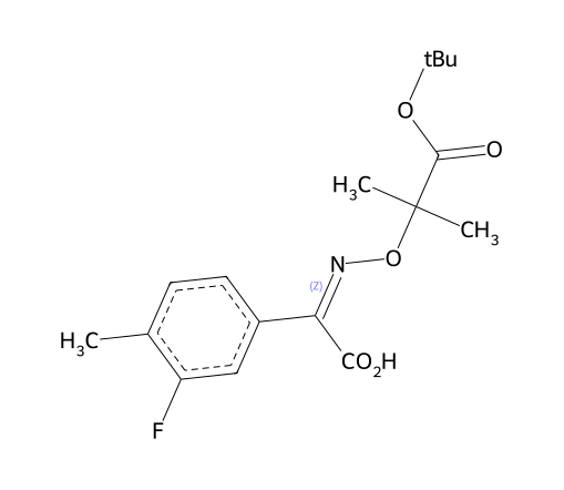 Cc1ccc(/C(=N/OC(C)(C)C(=O)OC(C)(C)C)C(=O)O)cc1F